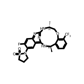 C[C@@H]1COc2c(cccc2C(F)(F)F)[C@@H](C)Nc2nc(nc3cc(F)c(N4CCCS4(=O)=O)cc23)N1